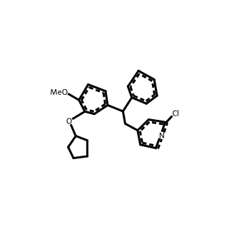 COc1ccc(C(Cc2ccnc(Cl)c2)c2ccccc2)cc1OC1CCCC1